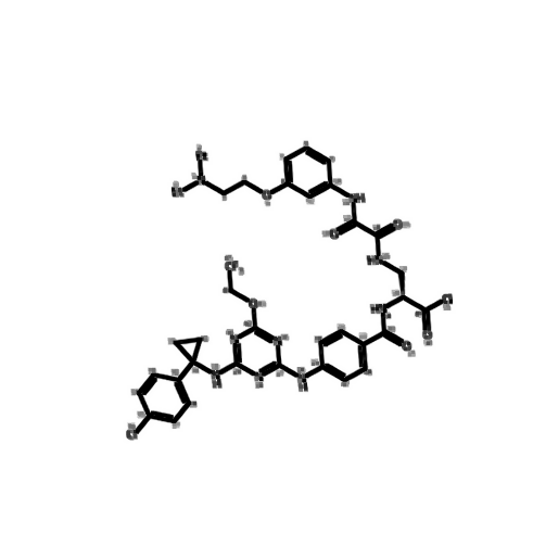 CCN(CC)CCOc1cccc(NC(=O)C(=O)NC[C@H](NC(=O)c2ccc(Nc3nc(NC4(c5ccc(Cl)cc5)CC4)nc(OCC(F)(F)F)n3)cc2)C(=O)Cl)c1